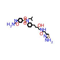 CC(C)CN(c1cccc(CCC(O)CNC(=O)Cc2csc(N)n2)c1)S(=O)(=O)c1ccc2nc(N)oc2c1